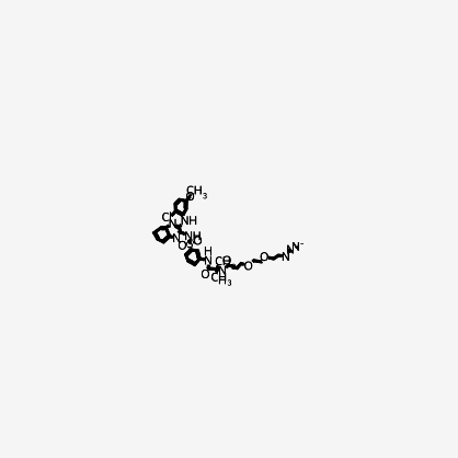 COc1ccc(Cl)c(Nc2nc3ccccc3nc2NS(=O)(=O)c2cccc(NC(=O)C(C)(C)NC(=O)CCOCCOCCN=[N+]=[N-])c2)c1